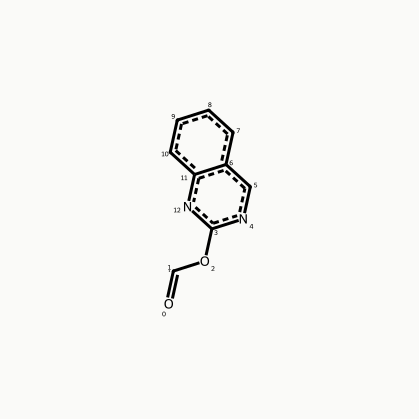 O=[C]Oc1ncc2ccccc2n1